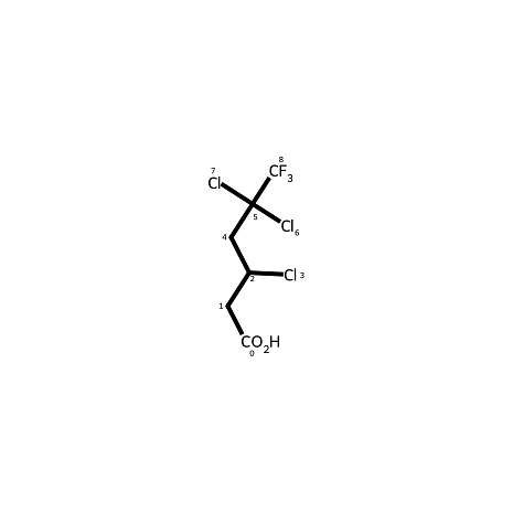 O=C(O)CC(Cl)CC(Cl)(Cl)C(F)(F)F